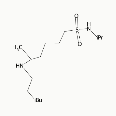 CCC(C)CCNC(C)CCCCS(=O)(=O)NC(C)C